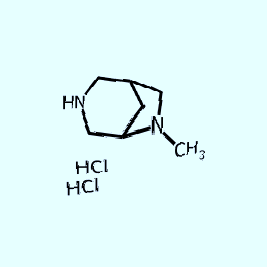 CN1CC2CNCC1C2.Cl.Cl